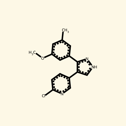 COc1cc(C)cc(-c2n[nH]cc2-c2ccc(Cl)nc2)c1